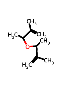 C=C(C)C(C)OC(C)C(=C)C